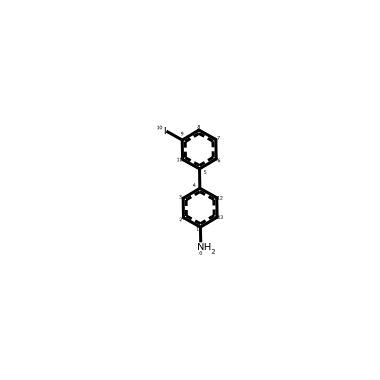 Nc1ccc(-c2cccc(I)c2)cc1